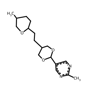 Cc1ncc(C2OCC(CCC3CCC(C)CO3)CO2)cn1